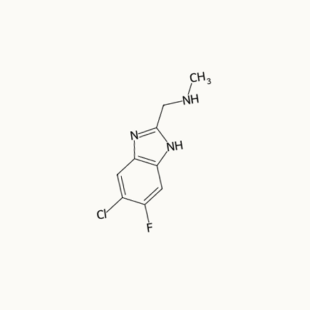 CNCc1nc2cc(Cl)c(F)cc2[nH]1